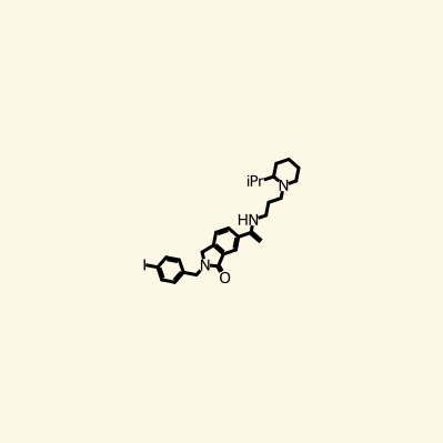 C=C(NCCCN1CCCCC1C(C)C)c1ccc2c(c1)C(=O)N(Cc1ccc(I)cc1)C2